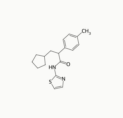 Cc1ccc(C(CC2CCCC2)C(=O)Nc2nccs2)cc1